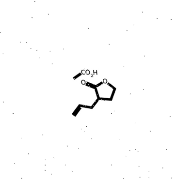 C=CCC1CCOC1=O.CC(=O)O